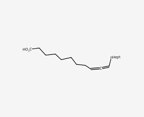 CCCCCCCC=C=CCCCCCCCC(=O)O